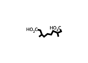 CC(CCCCC(C)CC(=O)O)CC(=O)O